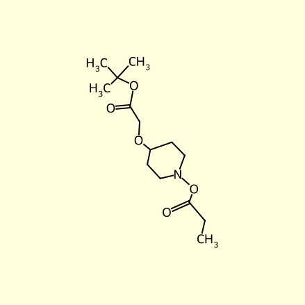 CCC(=O)ON1CCC(OCC(=O)OC(C)(C)C)CC1